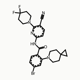 N#Cc1ccc(NC(=O)c2ccc(Br)cc2N2CCC3(CC2)CC3)nc1N1CCC(F)(F)CC1